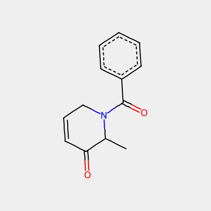 CC1C(=O)C=CCN1C(=O)c1ccccc1